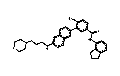 Cc1ccc(C(=O)Nc2cccc3c2CCC3)cc1-c1ccc2nc(NCCCN3CCOCC3)ncc2c1